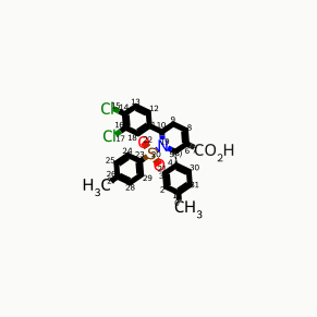 Cc1ccc([C@H]2C(C(=O)O)=CCC(c3ccc(Cl)c(Cl)c3)N2S(=O)(=O)c2ccc(C)cc2)cc1